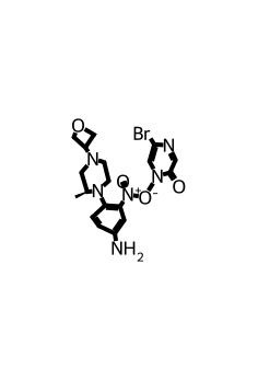 C[C@H]1CN(C2COC2)CCN1c1ccc(N)cc1[N+](=O)[O-].Cn1cc(Br)ncc1=O